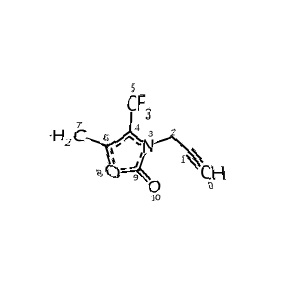 C#CCn1c(C(F)(F)F)c([CH2])oc1=O